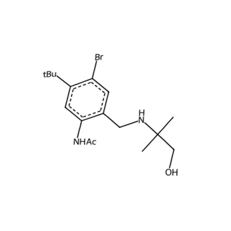 CC(=O)Nc1cc(C(C)(C)C)c(Br)cc1CNC(C)(C)CO